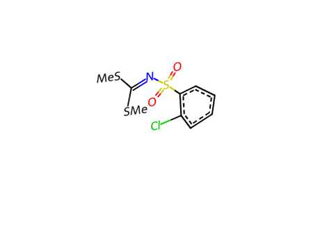 CSC(=NS(=O)(=O)c1ccccc1Cl)SC